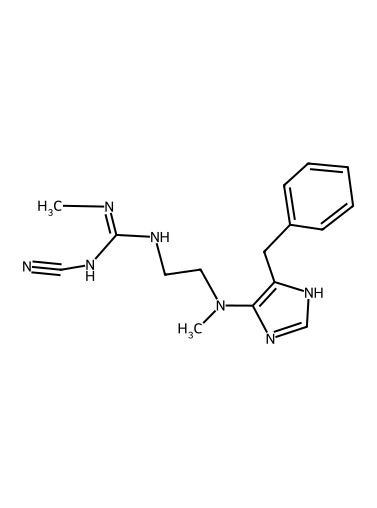 C/N=C(\NC#N)NCCN(C)c1nc[nH]c1Cc1ccccc1